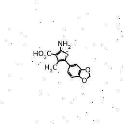 Cc1c(-c2ccc3c(c2)OCO3)sc(N)c1C(=O)O